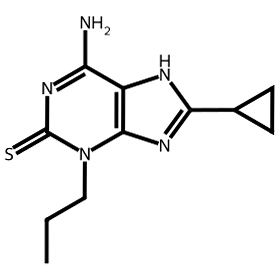 CCCn1c(=S)nc(N)c2[nH]c(C3CC3)nc21